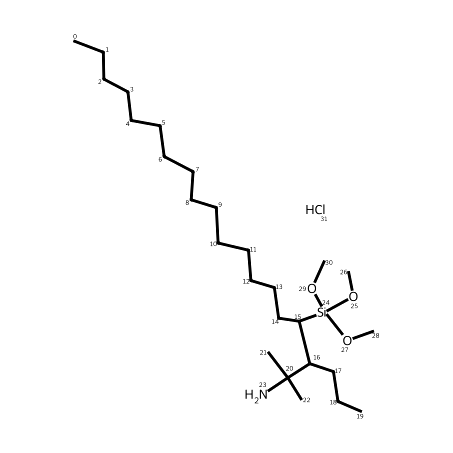 CCCCCCCCCCCCCCCC(C(CCC)C(C)(C)N)[Si](OC)(OC)OC.Cl